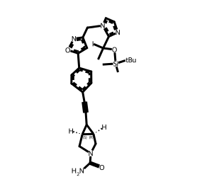 CC(I)(O[Si](C)(C)C(C)(C)C)c1nccn1Cc1cc(-c2ccc(C#CC3[C@H]4CN(C(N)=O)C[C@@H]34)cc2)on1